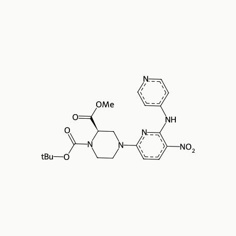 COC(=O)[C@H]1CN(c2ccc([N+](=O)[O-])c(Nc3ccncc3)n2)CCN1C(=O)OC(C)(C)C